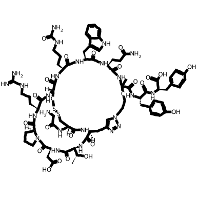 C[C@@H](O)[C@@H]1NC(=O)[C@@H]2Cc3cn(nn3)CCCC(C)(C(=O)N[C@@H](Cc3ccc(O)cc3)C(=O)N[C@H](Cc3ccc(O)cc3)C(=O)O)NC(=O)[C@H](CCC(N)=O)NC(=O)[C@H](Cc3c[nH]c4ccccc34)NC(=O)[C@H](CCCNC(N)=O)NC(=O)[C@H](CSSC[C@H](NC(=O)CN)C(=O)N2)NC(=O)[C@H](CCCNC(=N)N)NC(=O)[C@@H]2CCCN2C(=O)[C@H](CC(=O)O)NC1=O